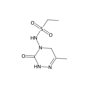 CCS(=O)(=O)NN1CC(C)=NNC1=O